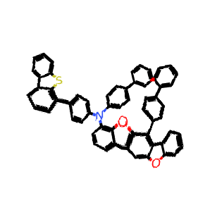 c1ccc(-c2ccc(-c3c4oc5c(N(c6ccc(-c7ccccc7)cc6)c6ccc(-c7cccc8c7sc7ccccc78)cc6)cccc5c4cc4oc5ccccc5c34)cc2)cc1